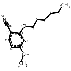 CCCCCCOc1nc(OC)ccc1C#N